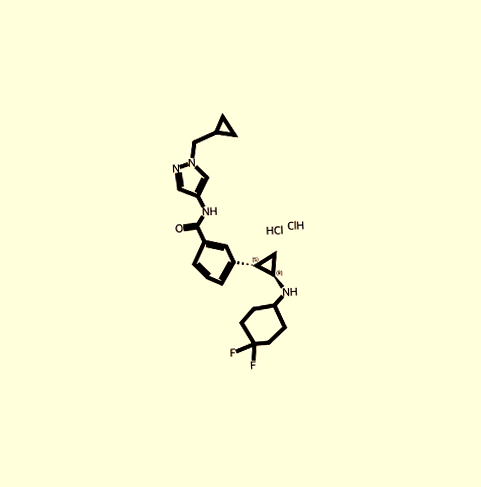 Cl.Cl.O=C(Nc1cnn(CC2CC2)c1)c1cccc([C@@H]2C[C@H]2NC2CCC(F)(F)CC2)c1